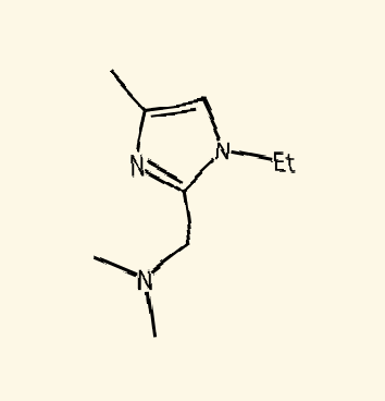 CCn1cc(C)nc1CN(C)C